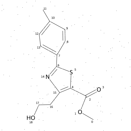 COC(=O)c1sc(-c2ccc(C)cc2)nc1CCO